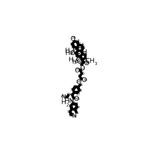 C[C@@H]1C[C@H]2[C@@H]3CCC4=CC(=O)C=C[C@]4(C)[C@@]3(F)[C@@H](O)C[C@]2(C)[C@@]1(O)C(=O)COC(=O)CCC(=O)OCc1ccc([C@@H](CCN)C(=O)Nc2ccc3cnccc3c2)cc1